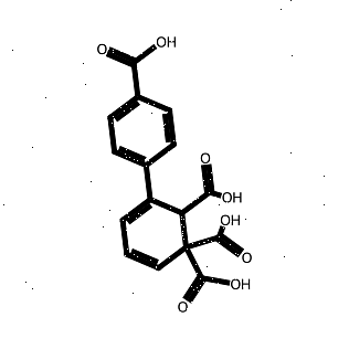 O=C(O)c1ccc(C2=CC=CC(C(=O)O)(C(=O)O)C2C(=O)O)cc1